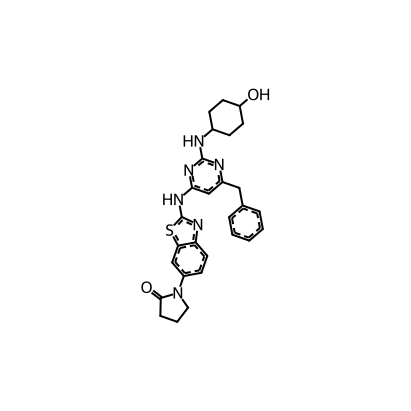 O=C1CCCN1c1ccc2nc(Nc3cc(Cc4ccccc4)nc(NC4CCC(O)CC4)n3)sc2c1